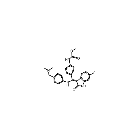 COC(=O)Nc1ccc(/C(Nc2ccc(CN(C)C)cc2)=C2/C(=O)Nc3cc(Cl)ccc32)cc1